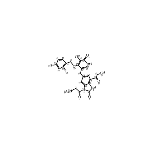 CNCC(=O)n1c(=O)[nH]c2c(C(=O)CO)cc(Cc3c[nH]c(=O)c(Cl)c3OCc3ccc(F)cc3F)cc21